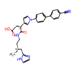 C[C@@H](CCNC(=O)[C@@H](CC(=O)O)c1ccn(-c2ccc(-c3ccc(C#N)cc3)cc2)c1)Cc1ncc[nH]1